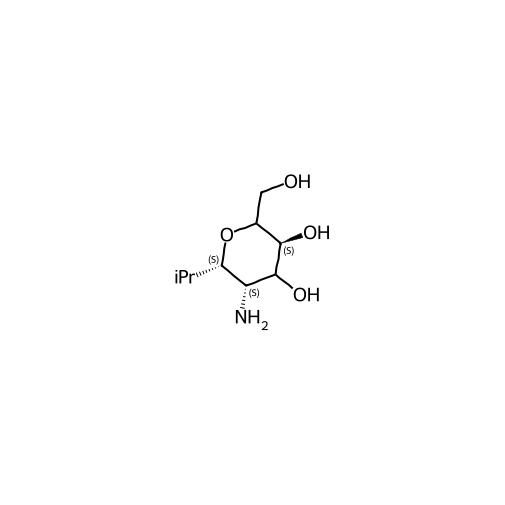 CC(C)[C@@H]1OC(CO)[C@@H](O)C(O)[C@@H]1N